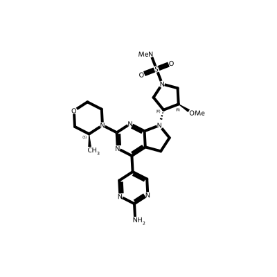 CNS(=O)(=O)N1C[C@@H](N2CCc3c(-c4cnc(N)nc4)nc(N4CCOC[C@@H]4C)nc32)[C@H](OC)C1